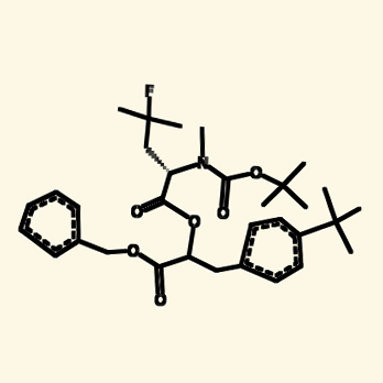 CN(C(=O)OC(C)(C)C)[C@@H](CC(C)(C)F)C(=O)OC(Cc1ccc(C(C)(C)C)cc1)C(=O)OCc1ccccc1